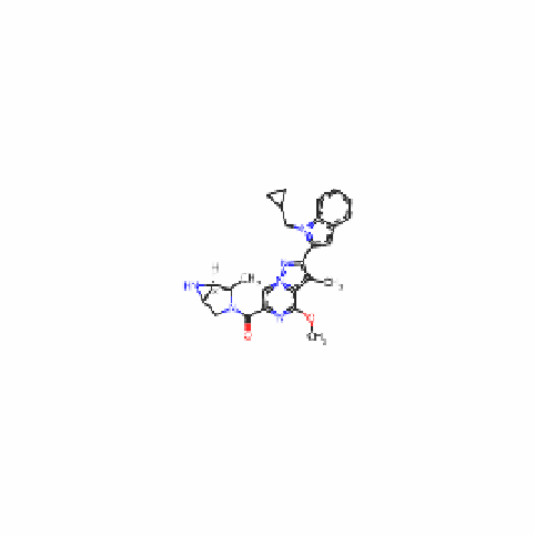 COc1nc(C(=O)N2CC3N[C@H]3C2C)cn2nc(-c3cc4ccccc4n3CC3CC3)c(C)c12